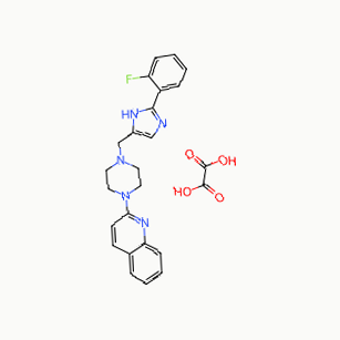 Fc1ccccc1-c1ncc(CN2CCN(c3ccc4ccccc4n3)CC2)[nH]1.O=C(O)C(=O)O